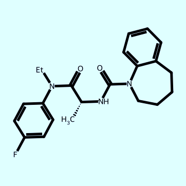 CCN(C(=O)[C@@H](C)NC(=O)N1CCCCc2ccccc21)c1ccc(F)cc1